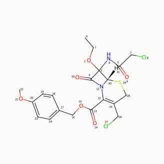 CCOC1(NC(=O)CCl)C(=O)N2C(C(=O)OCc3ccc(OC)cc3)=C(CCl)CS[C@H]21